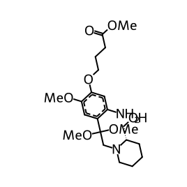 COC(=O)CCCOc1cc(N)c(C(CN2CCCC[C@H]2CO)(OC)OC)cc1OC